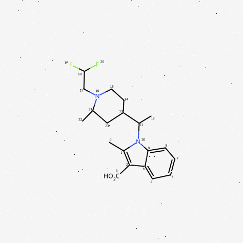 Cc1c(C(=O)O)c2ccccc2n1C(C)C1CCN(CC(F)F)C(C)C1